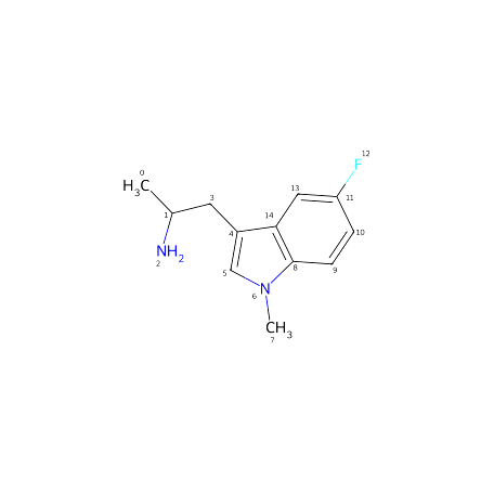 CC(N)Cc1cn(C)c2ccc(F)cc12